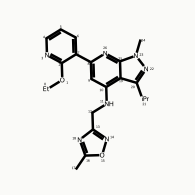 CCOc1ncccc1-c1cc(NCc2noc(C)n2)c2c(C(C)C)nn(C)c2n1